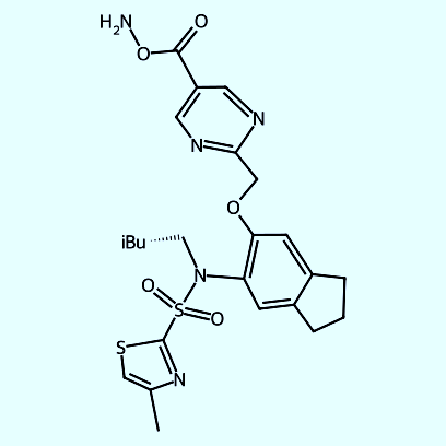 CC[C@@H](C)CN(c1cc2c(cc1OCc1ncc(C(=O)ON)cn1)CCC2)S(=O)(=O)c1nc(C)cs1